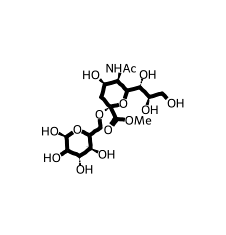 COC(=O)[C@@]1(OCC2O[C@H](O)C(O)[C@@H](O)[C@@H]2O)C[C@@H](O)[C@@H](NC(C)=O)C([C@H](O)[C@H](O)CO)O1